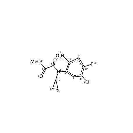 COC(=O)C(=O)N(c1cc(Cl)c(F)cc1[N+](=O)[O-])C1CC1